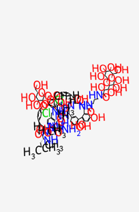 CN[C@H](CC(C)C)C(=O)N[C@H]1C(=O)N[C@@H](CC(N)=O)C(=O)N[C@H]2C(=O)N[C@H]3C(=O)N[C@H](C(=O)N[C@H](C(=O)NCCCNC(=O)[C@H](O)[C@@H](O)[C@H](OC4OC(CO)C(O)C(O)C4O)[C@H](O)CO)c4cc(O)cc(O)c4-c4cc3ccc4O)[C@H](O)c3ccc(c(Cl)c3)Oc3cc2cc(c3O[C@H]2O[C@H](CO)[C@H](O)C(O)C2O[C@H]2C[C@@](C)(NCc3cc[n+](C)cc3)[C@@H](O)C(C)O2)Oc2ccc(cc2Cl)[C@H]1O